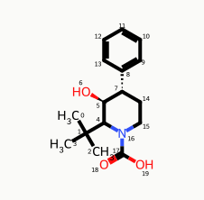 CC(C)(C)C1[C@@H](O)[C@H](c2ccccc2)CCN1C(=O)O